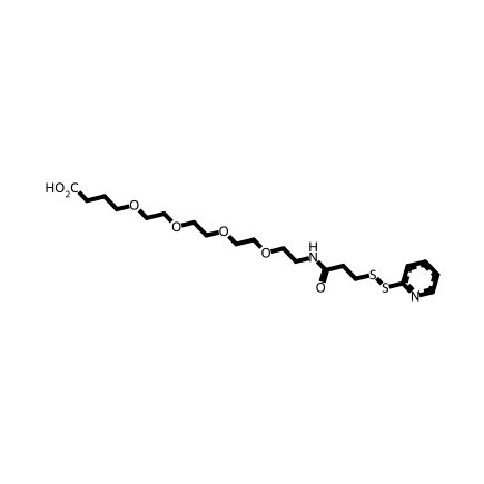 O=C(O)CCCOCCOCCOCCOCCNC(=O)CCSSc1ccccn1